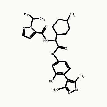 Cc1n[nH]c(C)c1-c1ccc(NC(=O)[C@@H](NC(=O)c2ccnn2C(C)C)C2CCC(C)CC2)cc1O